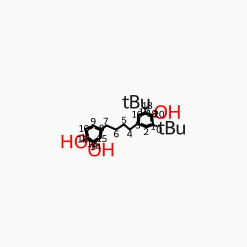 CC(C)(C)c1cc(CCCCc2ccc(O)c(O)c2)cc(C(C)(C)C)c1O